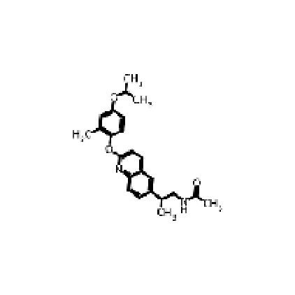 CC(=O)NCC(C)c1ccc2nc(Oc3ccc(OC(C)C)cc3C)ccc2c1